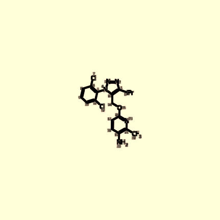 CC(C)c1nnn(-c2c(Cl)cccc2Cl)c1COc1ccc(N)c(C(F)(F)F)n1